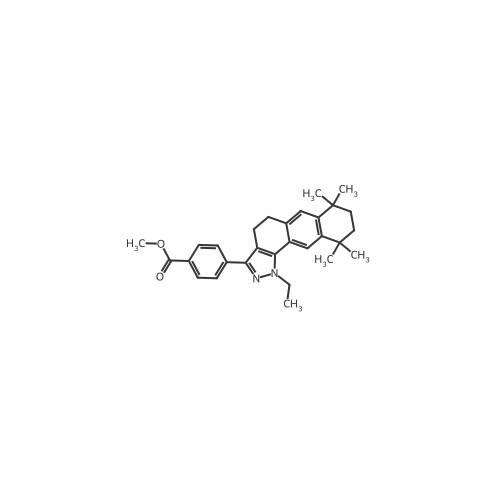 CCn1nc(-c2ccc(C(=O)OC)cc2)c2c1-c1cc3c(cc1CC2)C(C)(C)CCC3(C)C